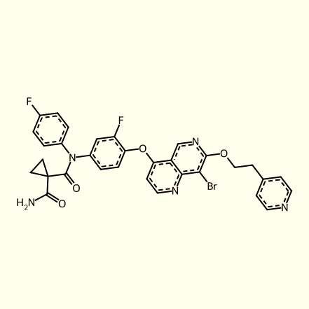 NC(=O)C1(C(=O)N(c2ccc(F)cc2)c2ccc(Oc3ccnc4c(Br)c(OCCc5ccncc5)ncc34)c(F)c2)CC1